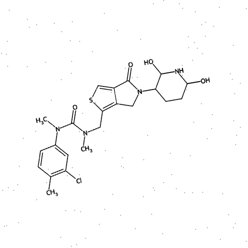 Cc1ccc(N(C)C(=O)N(C)Cc2scc3c2CN(C2CCC(O)NC2O)C3=O)cc1Cl